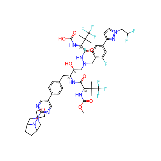 COC(=O)N[C@H](C(=O)N[C@@H](Cc1ccc(-c2cnc(N3CC4CCC(C3)N4C3COC3)nc2)cc1)[C@@H](O)CN(Cc1c(F)cc(-c2ccn(CC(F)F)n2)cc1F)NC(=O)[C@@H](NC(=O)O)C(C)(C)C(F)(F)F)C(C)(C)C(F)(F)F